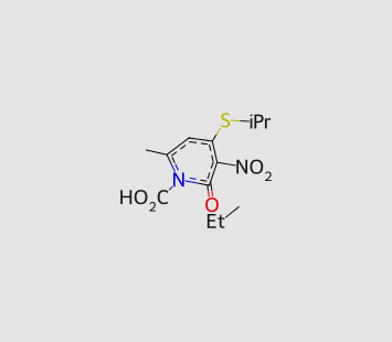 CCC.Cc1cc(SC(C)C)c([N+](=O)[O-])c(=O)n1C(=O)O